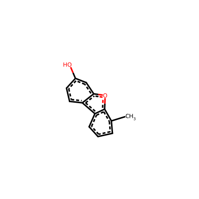 Cc1cccc2c1oc1cc(O)ccc12